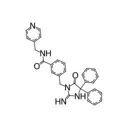 N=C1NC(c2ccccc2)(c2ccccc2)C(=O)N1Cc1cccc(C(=O)NCc2ccncc2)c1